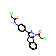 O=C(CCl)Nc1ccc(-c2nn(C(=O)CCl)c3c2Cc2ccccc2-3)cc1